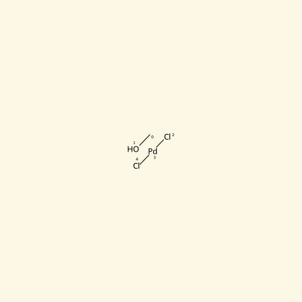 CO.[Cl][Pd][Cl]